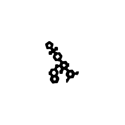 O=c1c(OC2COc3ccccc3C2)c(N2CCN(S(=O)(=O)C3CCCC3)CC2)cnn1-c1cc(F)cc(F)c1